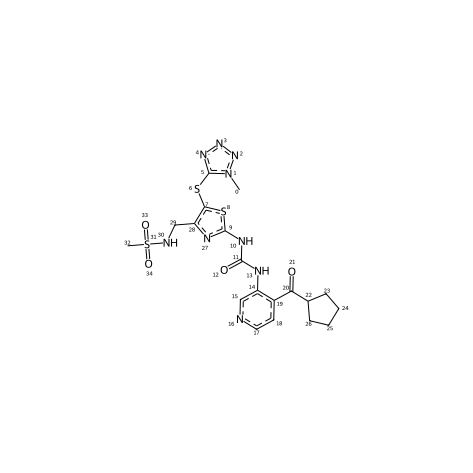 Cn1nnnc1Sc1sc(NC(=O)Nc2cnccc2C(=O)C2CCCC2)nc1CNS(C)(=O)=O